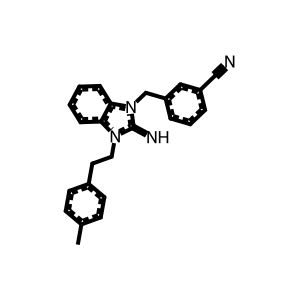 Cc1ccc(CCn2c(=N)n(Cc3cccc(C#N)c3)c3ccccc32)cc1